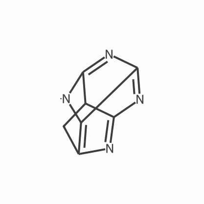 C1c2nc3nc4c2[N]C(=N4)C13